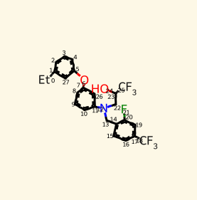 CCc1cccc(Oc2cccc(N(Cc3ccc(C(F)(F)F)cc3F)CC(O)C(F)(F)F)c2)c1